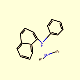 CC(C)NC(C)C.c1ccc(Nc2cccc3ccccc23)cc1